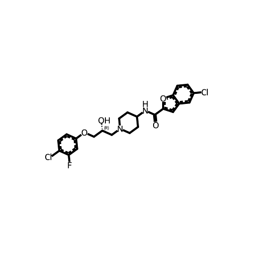 O=C(NC1CCN(C[C@@H](O)COc2ccc(Cl)c(F)c2)CC1)c1cc2cc(Cl)ccc2o1